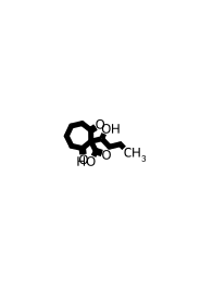 CCCC(O)C1(C(=O)O)C(=O)CCCCC1=O